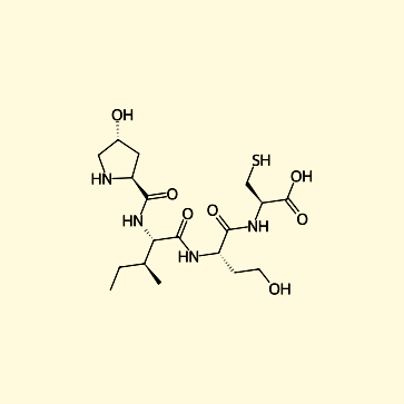 CC[C@H](C)[C@H](NC(=O)[C@@H]1C[C@@H](O)CN1)C(=O)N[C@@H](CCO)C(=O)N[C@@H](CS)C(=O)O